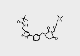 Cn1nc(-c2cccc(CN3CCC(=O)N(COCC[Si](C)(C)C)C3=O)c2)cc1CN[S+]([O-])C(C)(C)C